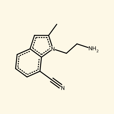 Cc1cc2cccc(C#N)c2n1CCN